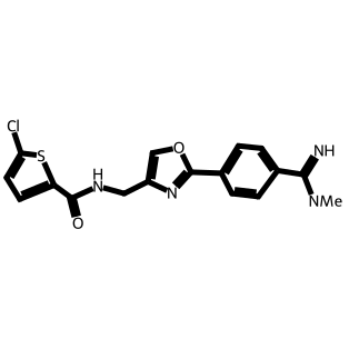 CNC(=N)c1ccc(-c2nc(CNC(=O)c3ccc(Cl)s3)co2)cc1